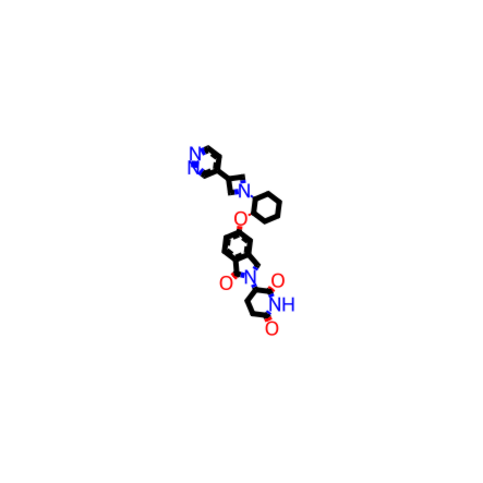 O=C1CCC(N2Cc3cc(O[C@H]4CCCC[C@H]4N4CC(c5ccnnc5)C4)ccc3C2=O)C(=O)N1